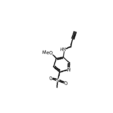 C#CCNc1cnc(S(C)(=O)=O)cc1OC